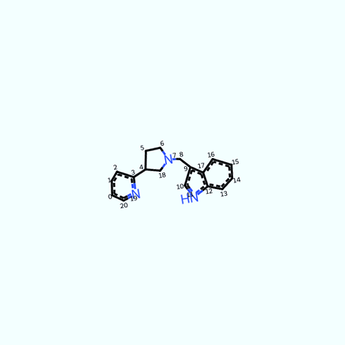 c1ccc(C2CCN(Cc3c[nH]c4ccccc34)C2)nc1